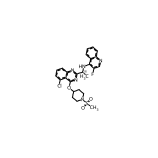 C[C@H](Nc1c(F)cnc2ccccc12)c1nc(OC2CCN(S(C)(=O)=O)CC2)c2c(Cl)cccc2n1